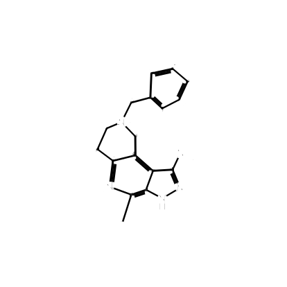 Cc1nc2c(c3c(N)n[nH]c13)CN(Cc1ccccc1)CC2